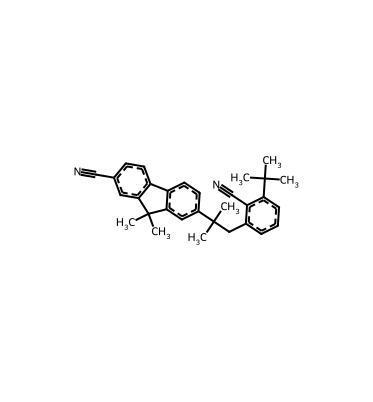 CC(C)(C)c1cccc(CC(C)(C)c2ccc3c(c2)C(C)(C)c2cc(C#N)ccc2-3)c1C#N